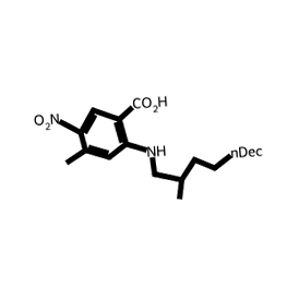 CCCCCCCCCCCCC(C)CNc1cc(C)c([N+](=O)[O-])cc1C(=O)O